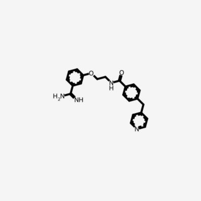 N=C(N)c1cccc(OCCNC(=O)c2ccc(Cc3ccncc3)cc2)c1